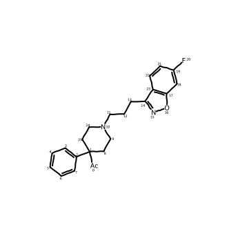 CC(=O)C1(c2ccccc2)CCN(CCCc2noc3cc(F)ccc23)CC1